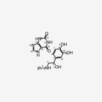 CC(C)NCC(O)c1ccc(O)c(O)c1.O=c1[nH]c(=O)c2[nH]cnc2[nH]1